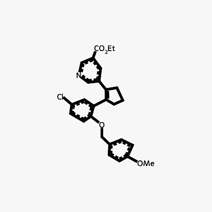 CCOC(=O)c1cncc(C2=C(c3cc(Cl)ccc3OCc3ccc(OC)cc3)CCC2)c1